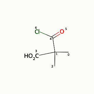 CC(C)(C(=O)O)C(=O)Cl